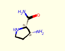 NC(=O)[C@H]1NCC[C@H]1N